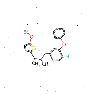 CCOc1ccc([C](C)C(C)Cc2ccc(F)c(Oc3ccccc3)c2)s1